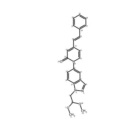 COC(Cn1ncc2cc(-n3ccc(C=Cc4ccccc4)cc3=O)ccc21)OC